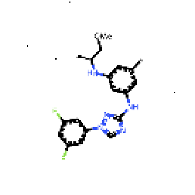 COC[C@H](C)Nc1cc(C)cc(Nc2ncn(-c3cc(F)cc(F)c3)n2)c1